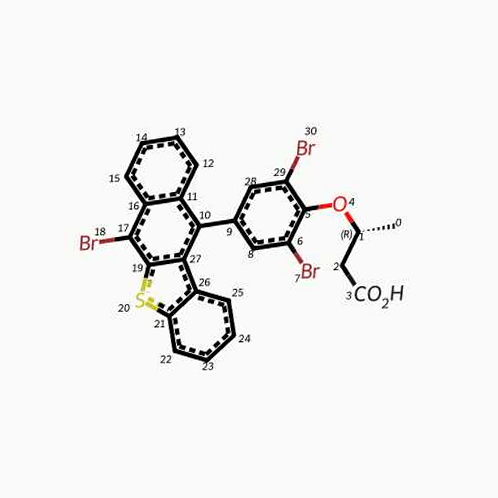 C[C@H](CC(=O)O)Oc1c(Br)cc(-c2c3ccccc3c(Br)c3sc4ccccc4c23)cc1Br